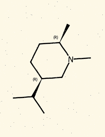 CC(C)[C@H]1CC[C@@H](C)N(C)C1